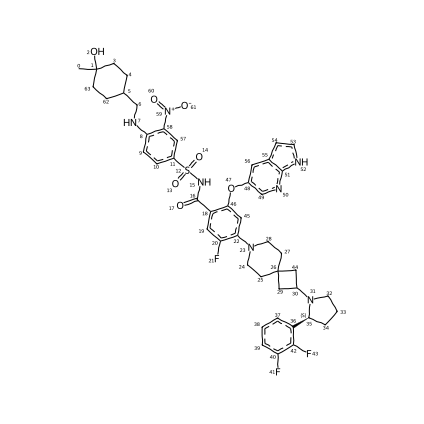 CC1(O)CCC(CNc2ccc(S(=O)(=O)NC(=O)c3cc(F)c(N4CCC5(CC4)CC(N4CCC[C@H]4c4cccc(F)c4F)C5)cc3Oc3cnc4[nH]ccc4c3)cc2[N+](=O)[O-])CC1